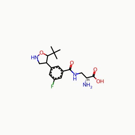 CC(C)(C)C1ONCC1c1cc(F)cc(C(=O)NC[C@@H](N)C(=O)O)c1